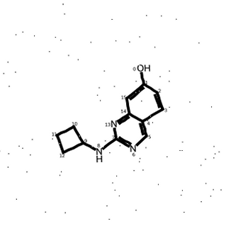 Oc1ccc2cnc(NC3CCC3)nc2c1